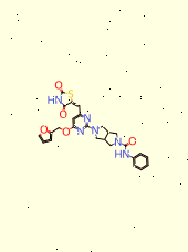 O=C1NC(=O)/C(=C\c2cc(OCc3ccco3)nc(N3CC4CN(C(=O)Nc5ccccc5)CC4C3)n2)S1